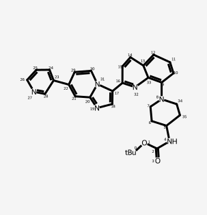 CC(C)(C)OC(=O)NC1CCN(c2cccc3ccc(-c4cnc5cc(-c6cccnc6)ccn45)nc23)CC1